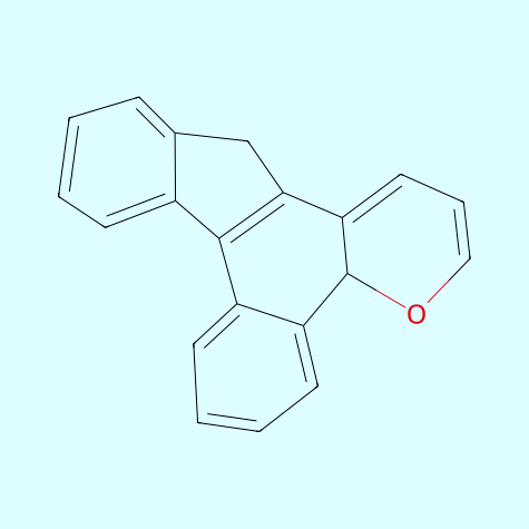 C1=COC2C(=C1)C1=C(c3ccccc3C1)c1ccccc12